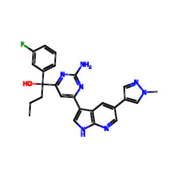 CCCC(O)(c1cccc(F)c1)c1cc(-c2c[nH]c3ncc(-c4cnn(C)c4)cc23)nc(N)n1